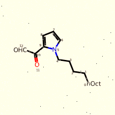 CCCCCCCCCCCCn1cccc1C(=O)C=O